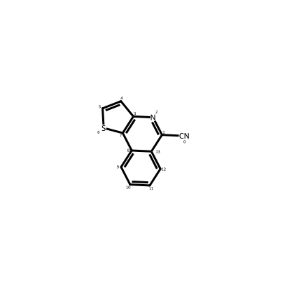 N#Cc1nc2ccsc2c2ccccc12